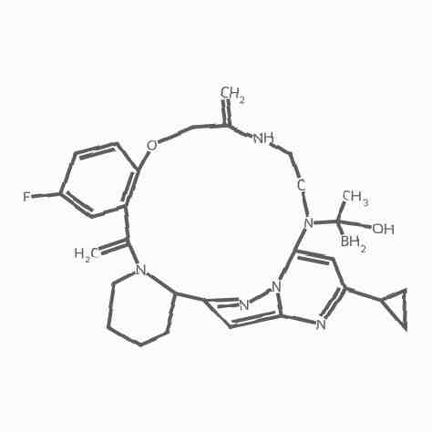 BC(C)(O)N1CCNC(=C)COc2ccc(F)cc2C(=C)N2CCCCC2c2cc3nc(C4CC4)cc1n3n2